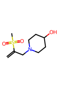 C=C(CN1CCC(O)CC1)S(C)(=O)=O